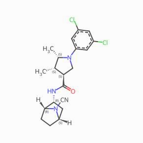 C[C@H]1[C@H](C(=O)N[C@@H]2C[C@@H]3CC[C@H]2N3C#N)CN(c2cc(Cl)cc(Cl)c2)[C@H]1C